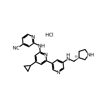 Cl.N#Cc1ccnc(Nc2cc(C3CC3)cc(-c3cncc(NC[C@H]4CCNC4)c3)n2)c1